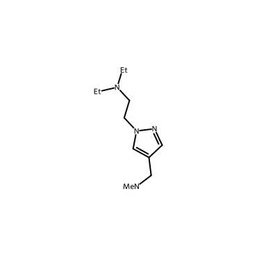 CCN(CC)CCn1cc(CNC)cn1